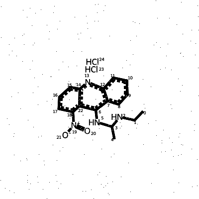 CCNC(C)Nc1c2ccccc2nc2cccc([N+](=O)[O-])c12.Cl.Cl